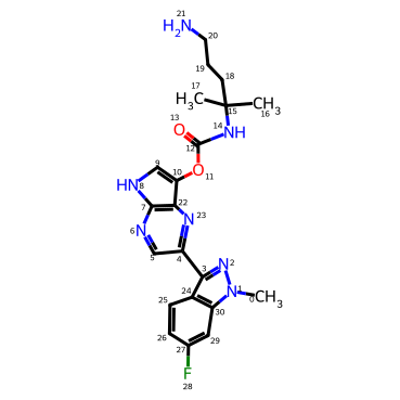 Cn1nc(-c2cnc3[nH]cc(OC(=O)NC(C)(C)CCCN)c3n2)c2ccc(F)cc21